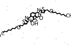 CCCCCCCCOCCc1cc2c(nc3n2C(O)c2sc4c(=O)n5c6cc(CCOCCCCCCCC)sc6nc5c5ccc-3c2c45)s1